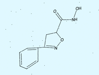 O=C(NO)C1CC(c2ccccc2)=NO1